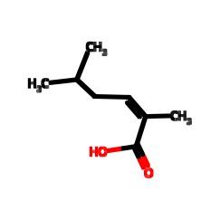 CC(=CCC(C)C)C(=O)O